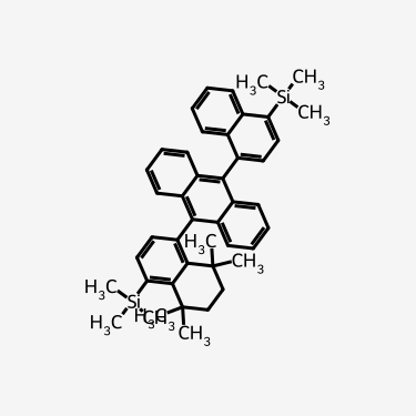 CC1(C)CCC(C)(C)c2c([Si](C)(C)C)ccc(-c3c4ccccc4c(-c4ccc([Si](C)(C)C)c5ccccc45)c4ccccc34)c21